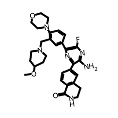 COC1CCN(Cc2cc(-c3nc(-c4ccc5c(c4)CCNC5=O)c(N)nc3F)ccc2N2CCOCC2)CC1